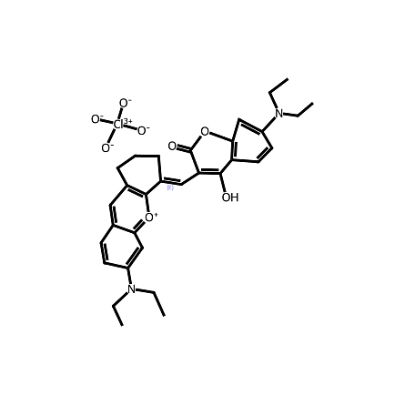 CCN(CC)c1ccc2c(O)c(/C=C3\CCCc4cc5ccc(N(CC)CC)cc5[o+]c43)c(=O)oc2c1.[O-][Cl+3]([O-])([O-])[O-]